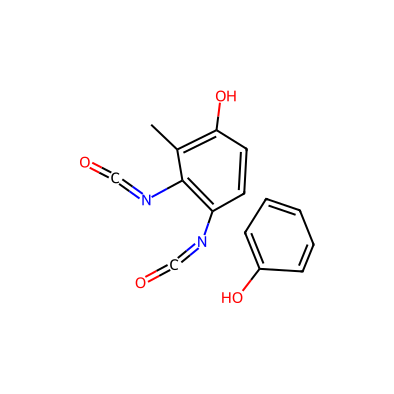 Cc1c(O)ccc(N=C=O)c1N=C=O.Oc1ccccc1